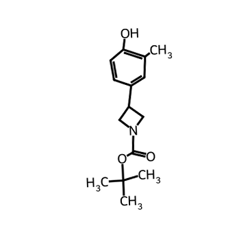 Cc1cc(C2CN(C(=O)OC(C)(C)C)C2)ccc1O